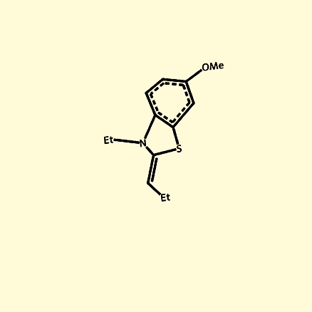 CC/C=C1\Sc2cc(OC)ccc2N1CC